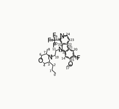 CCCC1COCC(C)N1CCn1c2cc(OC)c(F)cc2c2ccnc(C(F)(F)F)c21